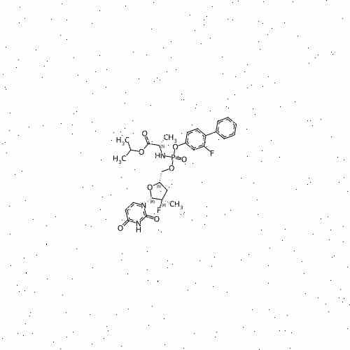 CC(C)OC(=O)[C@H](C)NP(=O)(OC[C@@H]1C[C@@](C)(F)[C@H](n2ccc(=O)[nH]c2=O)O1)Oc1ccc(-c2ccccc2)c(F)c1